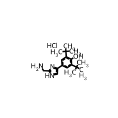 CC(C)(C)c1cc(-c2c[nH]c(CN)n2)cc(C(C)(C)C)c1O.Cl